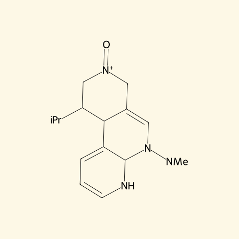 CNN1C=C2C[N+](=O)CC(C(C)C)C2C2=CC=CNC21